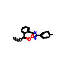 COC(=O)c1ccccc1-c1nc(-c2ccc(C)cc2)no1